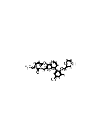 Cc1cc(Cl)cc(-c2ccnc3cc(Cn4c(=O)ccn(CC(F)(F)F)c4=O)sc23)c1OCC1CNCCO1